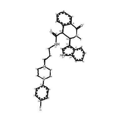 CN1C(=O)c2ccccc2C(C(=O)NCCCN2CCN(c3ccc(F)cc3)CC2)C1c1c[nH]c2ccccc12